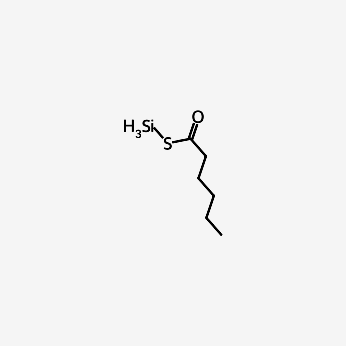 CCCCCC(=O)S[SiH3]